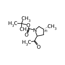 CC(=O)C1C[C@@H](C)CN1C(=O)OC(C)(C)C